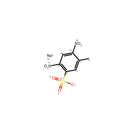 Cc1cc(S(=O)(=O)[O-])c([N+](=O)[O-])cc1[N+](=O)[O-].[Na+]